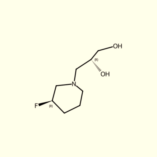 OC[C@H](O)CN1CCC[C@@H](F)C1